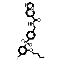 CCCCOc1cc(F)ccc1S(=O)(=O)c1ccc(CNC(=O)c2ccc3nccn3c2)cc1